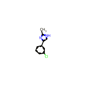 Cc1nc(-c2cccc(Cl)c2)c[nH]1